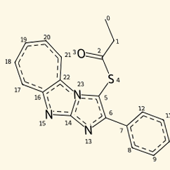 CCC(=O)Sc1c(-c2ccccc2)nc2nc3cccccc3n12